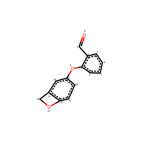 O=Cc1ccccc1Oc1ccc2c(c1)CO2